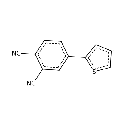 N#Cc1ccc(-c2c[c]cs2)cc1C#N